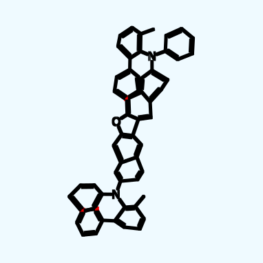 Cc1cccc(-c2ccccc2)c1N(c1ccccc1)c1ccc2cc3c(cc2c1)oc1cc2cc(N(c4ccccc4)c4c(C)cccc4-c4ccccc4)ccc2cc13